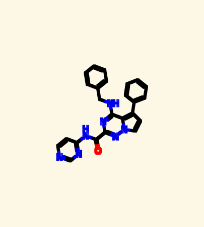 O=C(Nc1ccncn1)c1nc(NCc2ccccc2)c2c(-c3ccccc3)ccn2n1